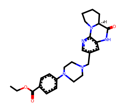 CCOC(=O)c1ccc(N2CCN(Cc3cnc4c(c3)NC(=O)[C@@H]3CCCCN43)CC2)cc1